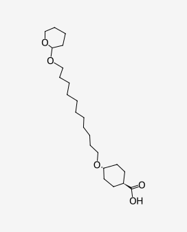 O=C(O)[C@H]1CC[C@H](OCCCCCCCCCCCOC2CCCCO2)CC1